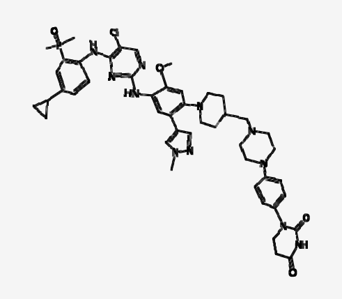 COc1cc(N2CCC(CN3CCN(c4ccc(N5CCC(=O)NC5=O)cc4)CC3)CC2)c(-c2cnn(C)c2)cc1Nc1ncc(Cl)c(Nc2ccc(C3CC3)cc2P(C)(C)=O)n1